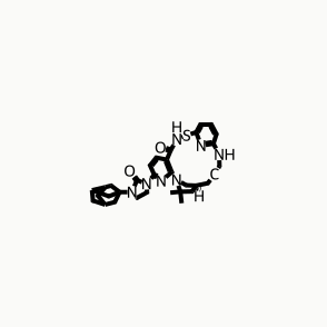 CC1(C)C[C@@H]2CCCNc3cccc(n3)SNC(=O)c3ccc(N4CCN(C56CC7CC(C5)C(C7)C6)C4=O)nc3N1C2